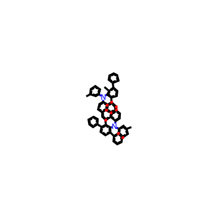 Cc1cccc(N(c2c(-c3ccccc3)ccc(-c3ccccc3)c2C)c2ccc3ccc4c(N(c5cccc(C)c5)c5c(-c6ccccc6)ccc(-c6ccccc6)c5C)ccc5ccc2c3c54)c1